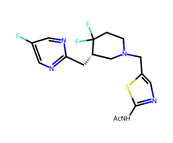 CC(=O)Nc1ncc(CN2CCC(F)(F)[C@@H](Cc3ncc(F)cn3)C2)s1